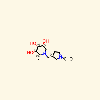 C[C@@H]1[C@@H](O)[C@H](O)[C@@H](O)CN1C[C@H]1CCN(C=O)C1